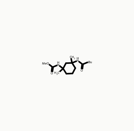 CCC(C)C(=O)NC1(C)CCCC(C)(NC(=O)OC)C1